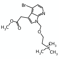 COC(=O)Cc1cn(COCC[Si](C)(C)C)c2nccc(Br)c12